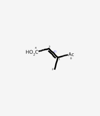 CC(=O)/C(C)=C/C(=O)O